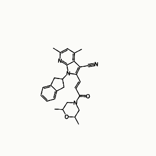 Cc1cc(C)c2c(C#N)c(C=CC(=O)N3CC(C)OC(C)C3)n(C3Cc4ccccc4C3)c2n1